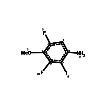 COc1c(F)cc(N)c(I)c1F